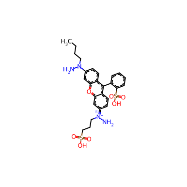 CCCCN(N)c1ccc2c(-c3ccccc3S(=O)(=O)O)c3cc/c(=[N+](\N)CCCS(=O)(=O)O)cc-3oc2c1